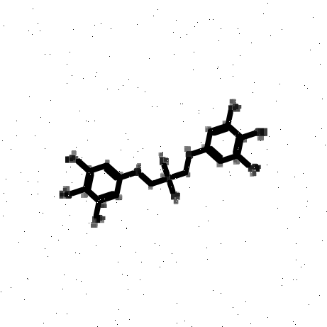 CCCc1cc(OC[Si](CC)(CC)COc2cc(CCC)c(O)c(CCC)c2)cc(CCC)c1O